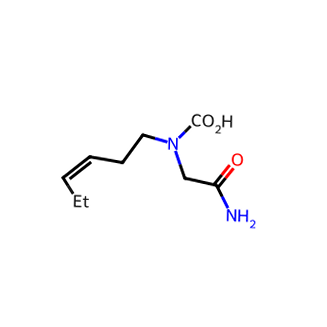 CC/C=C\CCN(CC(N)=O)C(=O)O